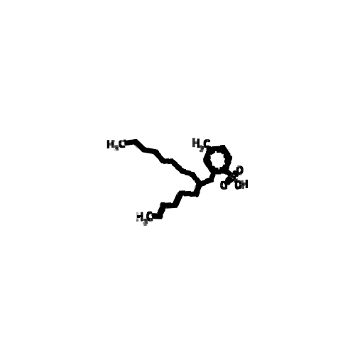 CCCCCCCCC(CCCCCC)Cc1cc(C)ccc1S(=O)(=O)O